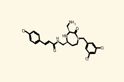 NC[C@@H]1N[C@H](CNC(=O)C=Cc2ccc(Cl)cc2)CCN(Cc2cc(Cl)cc(Cl)c2)C1=O